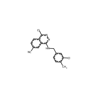 Cc1ccc(CNc2nnc(Cl)c3ccc(C#N)cc23)cc1Cl